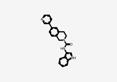 O=C(Nc1c[nH]c2ccccc12)N1CCc2cc(-c3cccnc3)ccc2C1